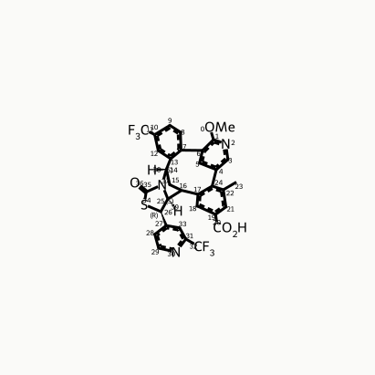 COc1ncc2cc1-c1ccc(C(F)(F)F)cc1[C@@H]1CC(c3cc(C(=O)O)cc(C)c3-2)[C@H]2[C@@H](c3ccnc(C(F)(F)F)c3)SC(=O)N12